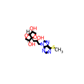 CSc1ncnc2c1ncn2CC(O)C[C@]12OC[C@@H](O)[C@H]1OC[C@@H]2O